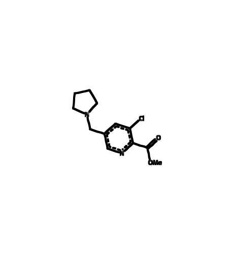 COC(=O)c1ncc(CN2CCCC2)cc1Cl